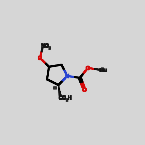 CC(C)(C)OC(=O)N1CC(O[N+](=O)[O-])C[C@H]1C(=O)O